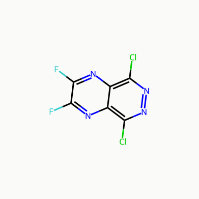 Fc1nc2c(Cl)nnc(Cl)c2nc1F